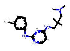 CN(C)CC(C)(C)CNc1ccnc(Nc2cccc(C(F)(F)F)c2)n1